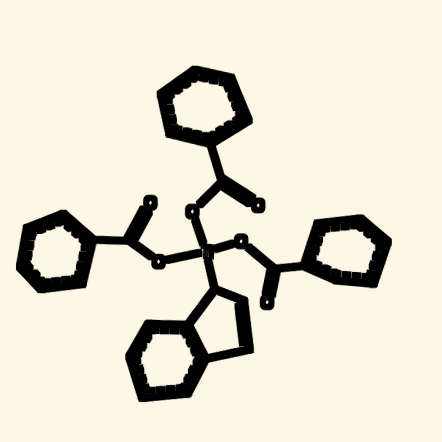 O=C([O][Ti]([O]C(=O)c1ccccc1)([O]C(=O)c1ccccc1)[CH]1C=Cc2ccccc21)c1ccccc1